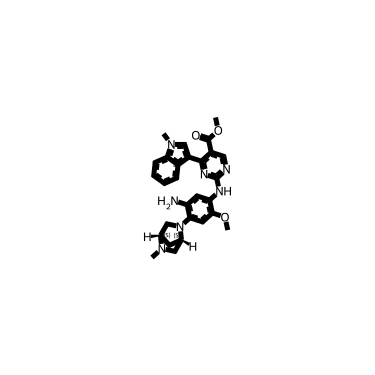 COC(=O)c1cnc(Nc2cc(N)c(N3C[C@@H]4C[C@H]3CN4C)cc2OC)nc1-c1cn(C)c2ccccc12